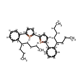 CCCCC(CCC)c1ccccc1-c1ccc(-c2ccc(-c3ccccc3C(CCC)CCCC)s2)s1